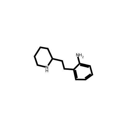 Nc1ccccc1CCC1CCCCN1